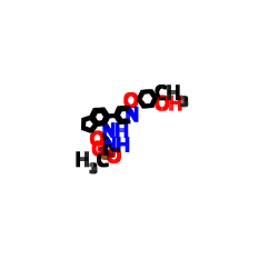 CS(=O)(=O)NC(=O)Nc1c(-c2ccnc(O[C@H]3CC[C@](C)(O)CC3)c2)ccc2c1CCC2